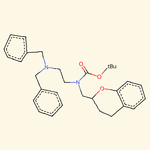 CC(C)(C)OC(=O)N(CCN(Cc1ccccc1)Cc1ccccc1)CC1CCc2ccccc2O1